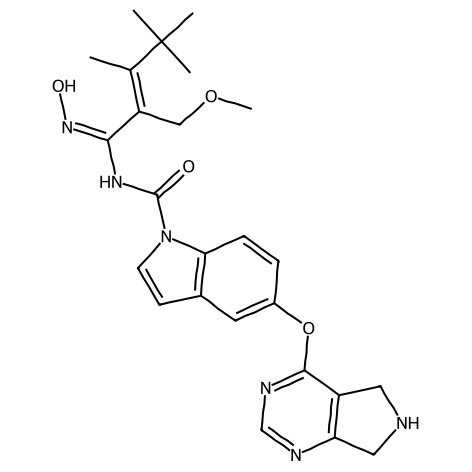 COCC(=C(/C)C(C)(C)C)/C(=N\O)NC(=O)n1ccc2cc(Oc3ncnc4c3CNC4)ccc21